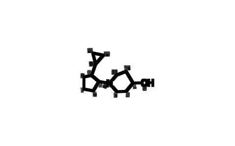 OC1CCN(C2CCCC2C2CC2)CC1